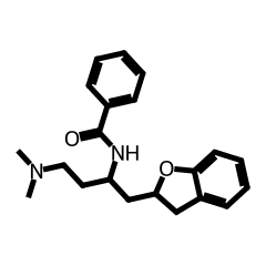 CN(C)CCC(CC1Cc2ccccc2O1)NC(=O)c1ccccc1